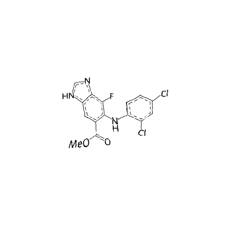 COC(=O)c1cc2[nH]cnc2c(F)c1Nc1ccc(Cl)cc1Cl